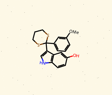 COc1cccc(C2(c3c[nH]c4ccc(O)cc34)SCCCS2)c1